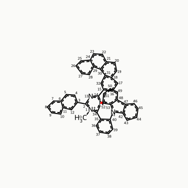 C[n+]1c(-c2ccc3ccccc3c2)nc(-c2ccc3ccc4ccc5ccccc5c4c3c2)nc1-c1ccccc1-n1c2ccccc2c2ccccc21